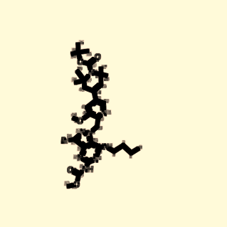 CCCCNc1nc(NC(=O)OC)nc2c(Br)nn(Cc3ncc(C4=CC(C)(C)N(C(=O)OC(C)(C)C)C(C)(C)C4)cc3OC)c12